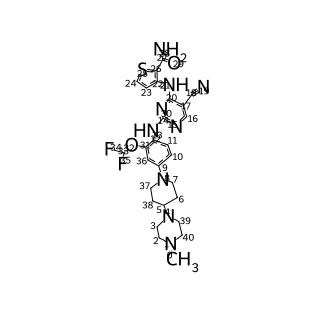 CN1CCN(C2CCN(c3ccc(Nc4ncc(C#N)c(Nc5ccsc5C(N)=O)n4)c(OC(F)F)c3)CC2)CC1